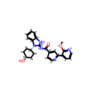 COc1ncccc1-c1cc(C(=O)/N=c2\[nH]c3ccccc3n2[C@H]2CC[C@@H](O)CC2)ccn1